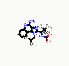 CC(C)Cn1c(C(NC(=O)O)C(C)(C)C)nc2c(N)nc3ccccc3c21